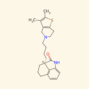 Cc1sc2c(c1C)CN(CCCC[C@@]13CCCc4cccc(c41)NC3=O)CC2